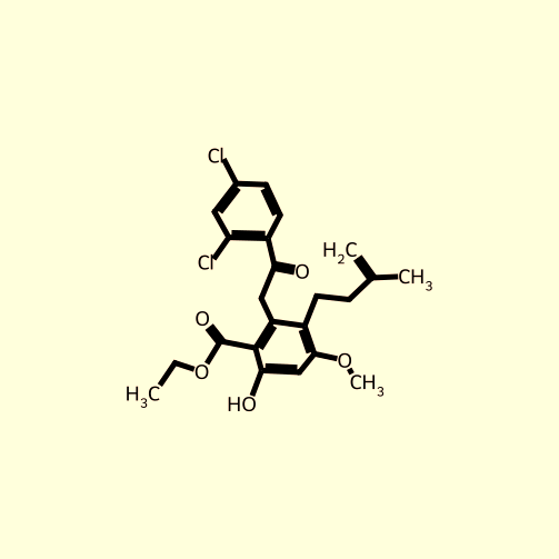 C=C(C)CCc1c(OC)cc(O)c(C(=O)OCC)c1CC(=O)c1ccc(Cl)cc1Cl